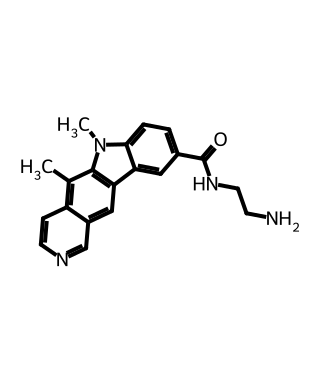 Cc1c2ccncc2cc2c3cc(C(=O)NCCN)ccc3n(C)c12